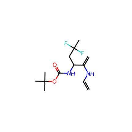 C=CNC(=C)C(CC(C)(F)F)NC(=O)OC(C)(C)C